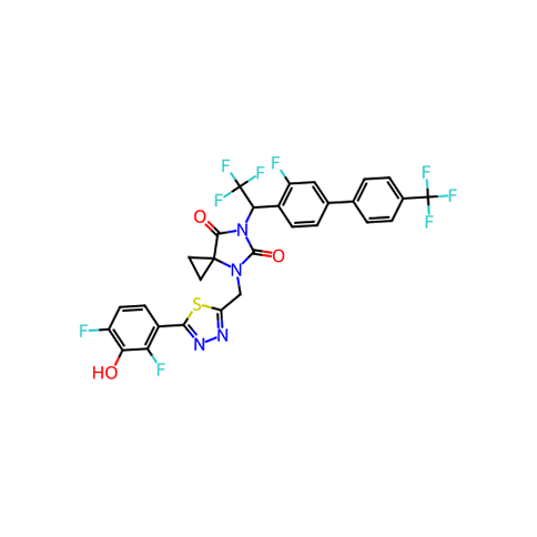 O=C1N(C(c2ccc(-c3ccc(C(F)(F)F)cc3)cc2F)C(F)(F)F)C(=O)C2(CC2)N1Cc1nnc(-c2ccc(F)c(O)c2F)s1